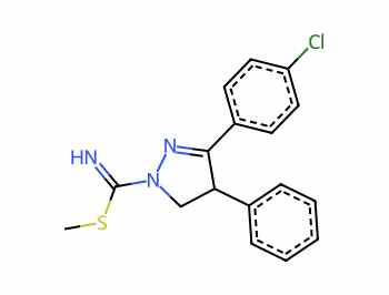 CSC(=N)N1CC(c2ccccc2)C(c2ccc(Cl)cc2)=N1